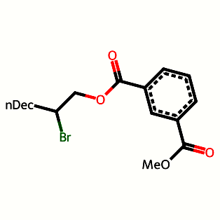 CCCCCCCCCCC(Br)COC(=O)c1cccc(C(=O)OC)c1